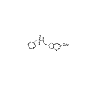 CC(=O)Oc1ccc2c(c1)CC(CNS(=O)(=O)Cc1ccccc1)C2